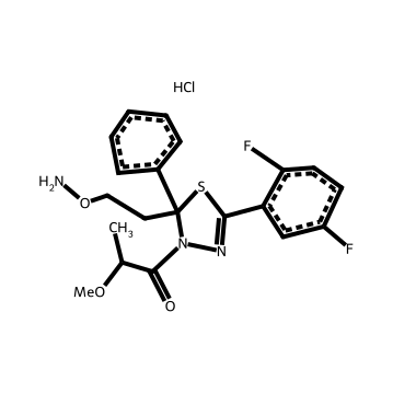 COC(C)C(=O)N1N=C(c2cc(F)ccc2F)SC1(CCON)c1ccccc1.Cl